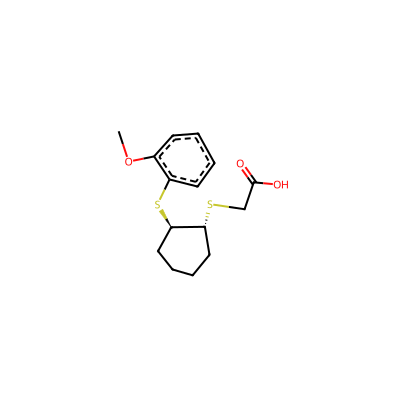 COc1ccccc1S[C@@H]1CCCC[C@H]1SCC(=O)O